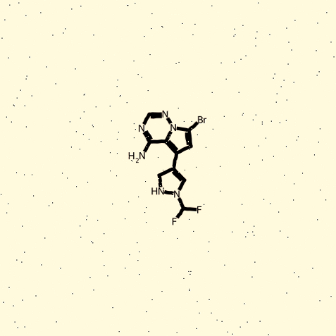 Nc1ncnn2c(Br)cc(C3=CN(C(F)F)NC3)c12